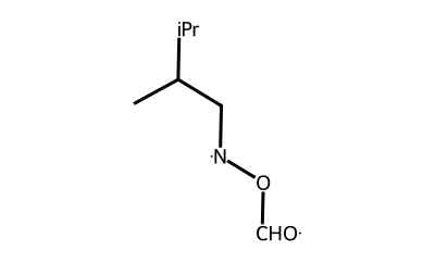 CC(C)C(C)C[N]O[C]=O